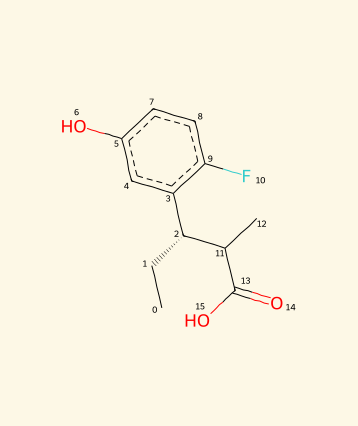 CC[C@H](c1cc(O)ccc1F)C(C)C(=O)O